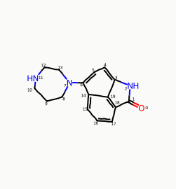 O=C1Nc2ccc(N3CCCNCC3)c3cccc1c23